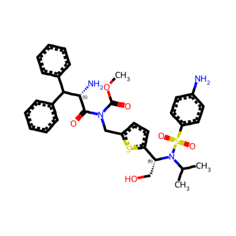 COC(=O)N(Cc1ccc([C@@H](CO)N(C(C)C)S(=O)(=O)c2ccc(N)cc2)s1)C(=O)[C@@H](N)C(c1ccccc1)c1ccccc1